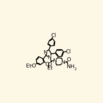 CCOc1ccc(C2=NC(c3ccc(Cl)cc3)C(c3ccc(Cl)cc3)N2C(=O)N2CCN(C(N)=O)CC2)c(OCC)c1